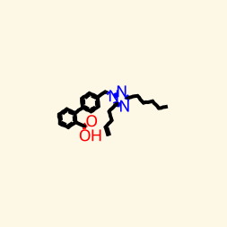 C=CCCc1nc(CCCCC)nn1Cc1ccc(-c2ccccc2C(=O)O)cc1